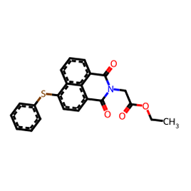 CCOC(=O)CN1C(=O)c2cccc3c(Sc4ccccc4)ccc(c23)C1=O